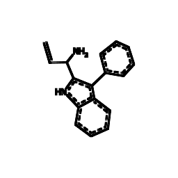 C=CC(N)c1[nH]c2ccccc2c1-c1ccccc1